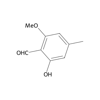 COc1cc(C)cc(O)c1C=O